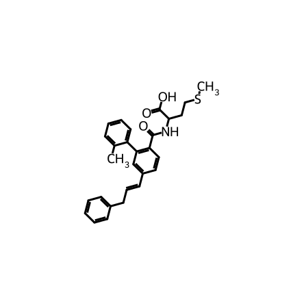 CSCCC(NC(=O)c1ccc(C=CCc2ccccc2)cc1-c1ccccc1C)C(=O)O